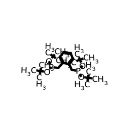 CC(C)(C)OP(Cc1ccccc1CP(OC(C)(C)C)OC(C)(C)C)OC(C)(C)C